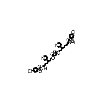 O=C(CC(=O)OCCC(CCCCNS(=O)(=O)c1ccc(Cl)cc1)c1cccnc1)OCCC(CCCCNS(=O)(=O)c1ccc(Cl)cc1)c1cccnc1